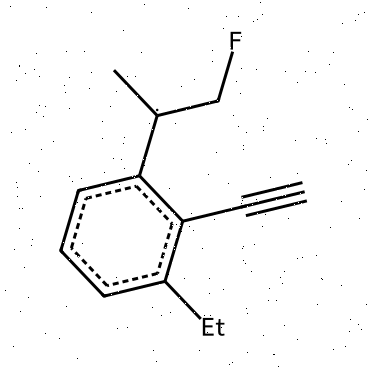 C#Cc1c(CC)cccc1[C](C)CF